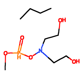 CCCC.CO[PH](=O)ON(CCO)CCO